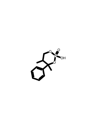 CC1COP(=O)(O)OC1(C)c1ccccc1